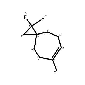 CC1=CCCC2(CC1)CC2(F)F